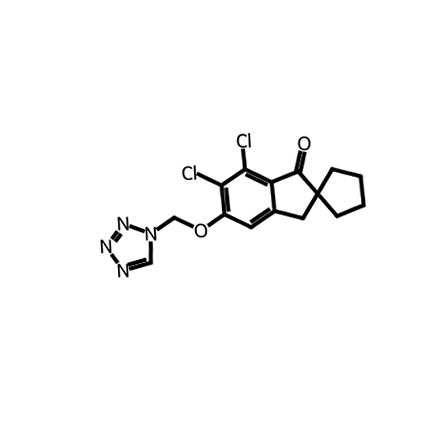 O=C1c2c(cc(OCn3cnnn3)c(Cl)c2Cl)CC12CCCC2